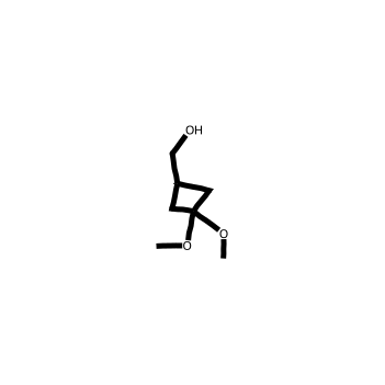 COC1(OC)C[C](CO)C1